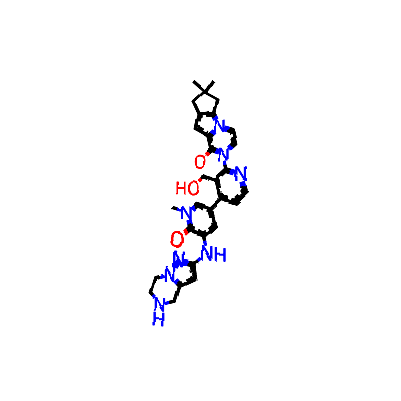 Cn1cc(-c2ccnc(-n3ccn4c5c(cc4c3=O)CC(C)(C)C5)c2CO)cc(Nc2cc3n(n2)CCNC3)c1=O